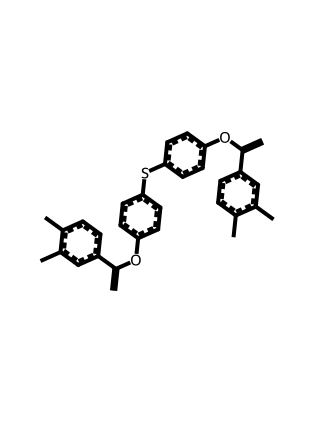 C=C(Oc1ccc(Sc2ccc(OC(=C)c3ccc(C)c(C)c3)cc2)cc1)c1ccc(C)c(C)c1